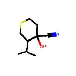 CC(C)C1CSCCC1(O)C#N